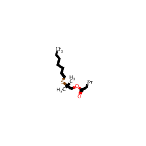 CC(C)CC(=O)OCC(C)(C)SCCCCCCC(F)(F)F